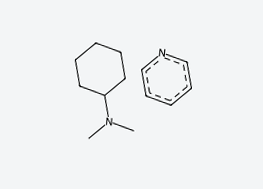 CN(C)C1CCCCC1.c1ccncc1